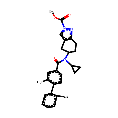 Cc1cc(C(=O)N(C2CC2)C2CCc3nn(C(=O)OC(C)(C)C)cc3C2)ccc1-c1ccccc1C#N